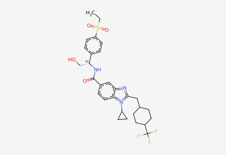 CCS(=O)(=O)c1ccc([C@@H](CO)NC(=O)c2ccc3c(c2)nc(CC2CCC(C(F)(F)F)CC2)n3C2CC2)cc1